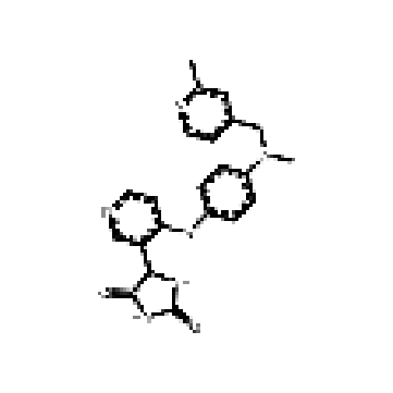 Cc1cc(CN(C)c2ccc(Sc3ccncc3C3NC(=O)NC3=O)cc2)ccn1